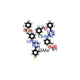 CC(C)S(=O)(=O)Cc1cccc(Nc2ncnc(-c3ccccc3OCc3cccc(Cl)c3)n2)c1.COc1cc(F)ccc1-c1ncnc(Nc2cccc(CS(=O)(=O)c3ccccc3)c2)n1